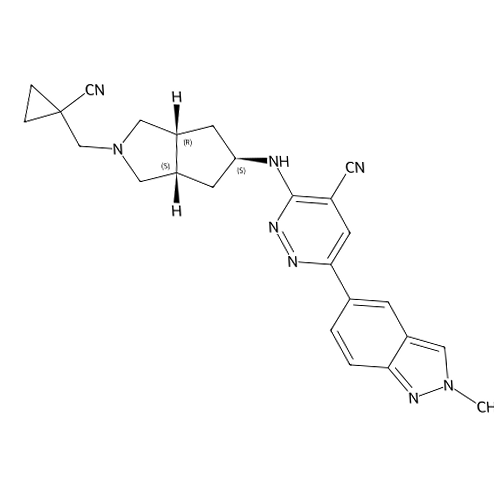 Cn1cc2cc(-c3cc(C#N)c(N[C@H]4C[C@@H]5CN(CC6(C#N)CC6)C[C@@H]5C4)nn3)ccc2n1